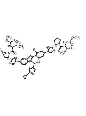 COC(=O)NC(C(=O)N1CCC[C@H]1c1ncc(-c2cc(F)c3c(c2)OC(c2cnc(C4CC4)s2)n2c-3cc3cc(-c4cnc([C@@H]5CC6C(C)C6N5C(=O)C(NC(=O)OC)C(C)C)[nH]4)ccc32)[nH]1)C(C)C